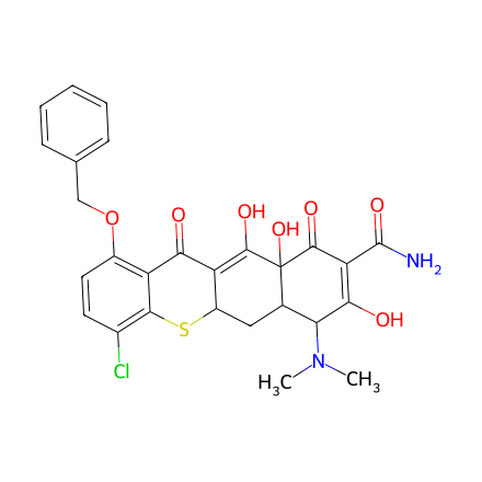 CN(C)C1C(O)=C(C(N)=O)C(=O)C2(O)C(O)=C3C(=O)c4c(OCc5ccccc5)ccc(Cl)c4SC3CC12